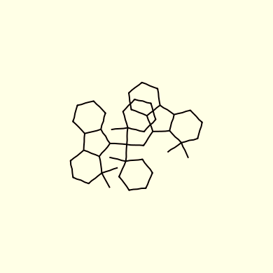 CC1(C)CCCC2C3CCCCC3C(CC(C3C4CCCCC4C4CCCC(C)(C)C43)(C3(C)CCCCC3)C3(C)CCCCC3)C21